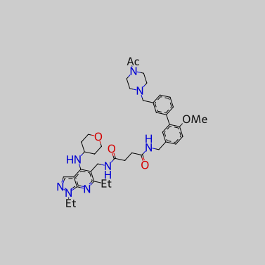 CCc1nc2c(cnn2CC)c(NC2CCOCC2)c1CNC(=O)CCC(=O)NCc1ccc(OC)c(-c2cccc(CN3CCN(C(C)=O)CC3)c2)c1